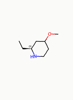 CC[C@H]1CC(OC)CCN1